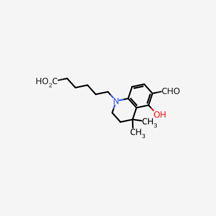 CC1(C)CCN(CCCCCC(=O)O)c2ccc(C=O)c(O)c21